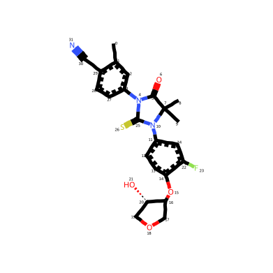 Cc1cc(N2C(=O)C(C)(C)N(c3ccc(OC4COC[C@@H]4O)c(F)c3)C2=S)ccc1C#N